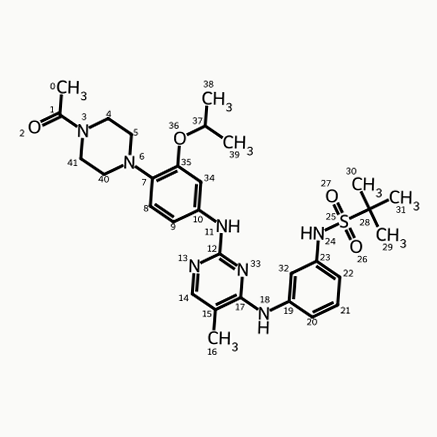 CC(=O)N1CCN(c2ccc(Nc3ncc(C)c(Nc4cccc(NS(=O)(=O)C(C)(C)C)c4)n3)cc2OC(C)C)CC1